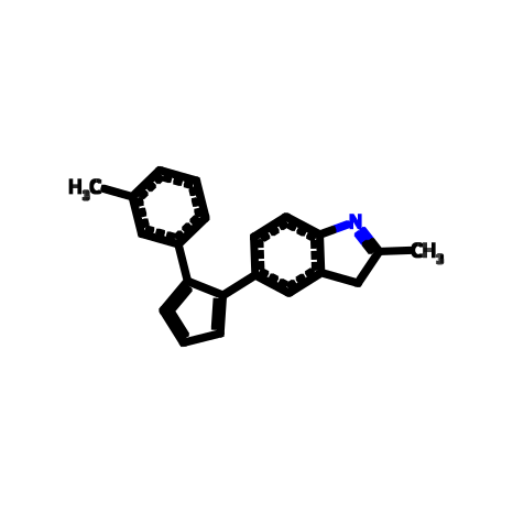 CC1=Nc2ccc(C3=CC=C=C3c3cccc(C)c3)cc2C1